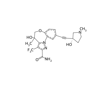 CN1CC[C@@](O)(C#Cc2ccc3c(c2)-n2nc(C(N)=O)c(C(F)(F)F)c2C(C)(O)CO3)C1